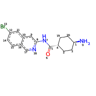 N[C@H]1CC[C@H](C(=O)Nc2cc3cc(Br)ccc3cn2)CC1